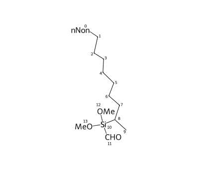 CCCCCCCCCCCCCCCCC(C)[Si](C=O)(OC)OC